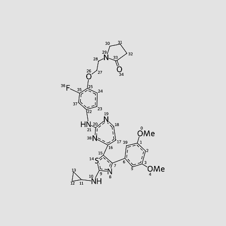 COc1cc(OC)cc(-c2nc(NC3CC3)sc2-c2ccnc(Nc3ccc(OCCN4CCCC4=O)c(F)c3)n2)c1